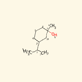 CC(C)C1CCCC(C)(O)C1